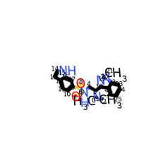 CN(C)C(CNS(=O)(=O)c1ccc2cc[nH]c2c1)c1nn(C)c2ccccc12